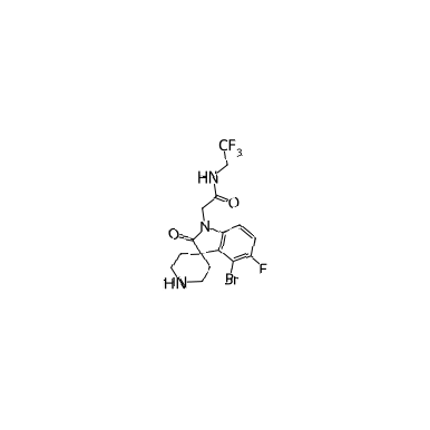 O=C(CN1C(=O)C2(CCNCC2)c2c1ccc(F)c2Br)NCC(F)(F)F